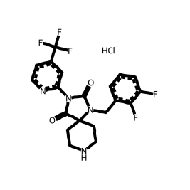 Cl.O=C1N(c2cc(C(F)(F)F)ccn2)C(=O)C2(CCNCC2)N1Cc1cccc(F)c1F